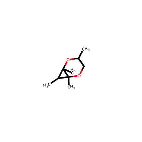 CC1COC2(C)C(C)C2(C)O1